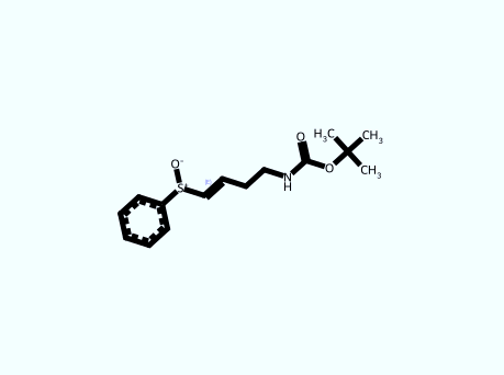 CC(C)(C)OC(=O)NCC/C=C/[S+]([O-])c1ccccc1